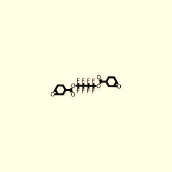 O=C(OC(F)(F)C(F)(F)C(F)(F)C(F)(F)OC(=O)C1CCC2OC2C1)C1CCC2OC2C1